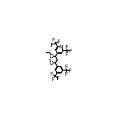 CCOC(CC(OC)c1cc(C(F)(F)F)cc(C(F)(F)F)c1)c1cc(C(F)(F)F)nc(C(F)(F)F)c1